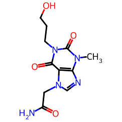 Cn1c(=O)n(CCCO)c(=O)c2c1ncn2CC(N)=O